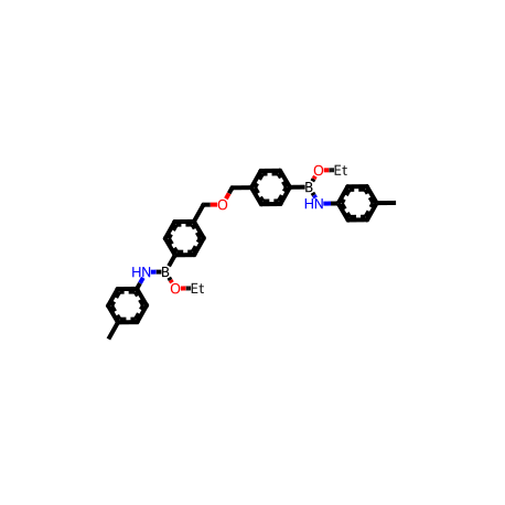 CCOB(Nc1ccc(C)cc1)c1ccc(COCc2ccc(B(Nc3ccc(C)cc3)OCC)cc2)cc1